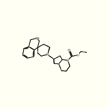 CCOC(=O)N1CCCC2CC(N3CCC4(CC3)CNCc3ccccc34)CC21